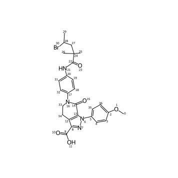 COc1ccc(-n2nc(C(=O)O)c3c2C(=O)N(c2ccc(NC(=O)C(C)(C)CC(C)Br)cc2)CC3)cc1